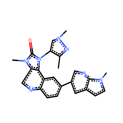 Cc1nn(C)cc1-n1c(=O)n(C)c2cnc3ccc(-c4cnc5c(ccn5C)c4)cc3c21